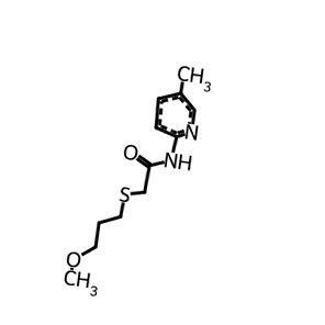 COCCCSCC(=O)Nc1ccc(C)cn1